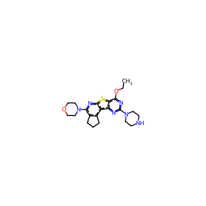 CCOc1nc(N2CCNCC2)nc2c1sc1nc(N3CCOCC3)c3c(c12)CCC3